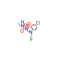 CCNC(=O)N1CN(CCF)c2ccc(Cl)cc2S1(=O)=O